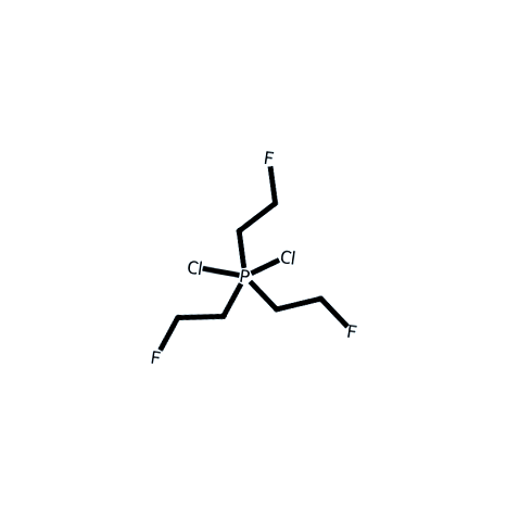 FCCP(Cl)(Cl)(CCF)CCF